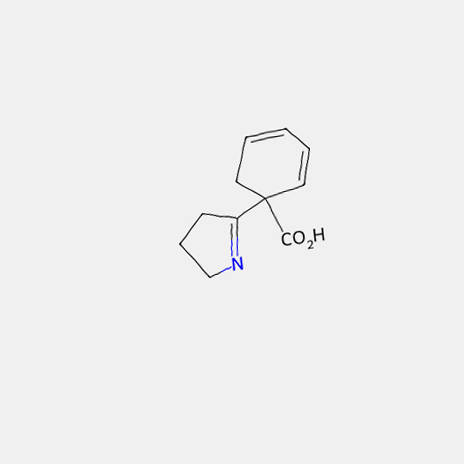 O=C(O)C1(C2=NCCC2)C=CC=CC1